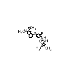 COc1cc2nccc(Oc3ccc(NC(=O)Nc4nc(C)c(C)s4)c(F)c3)c2cc1OC